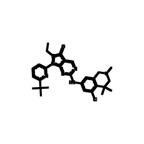 CCn1c(=O)c2cnc(Nc3cc(Cl)c4c(c3)CN(C)CC4(C)C)nc2n1-c1cccc(C(C)(C)C)n1